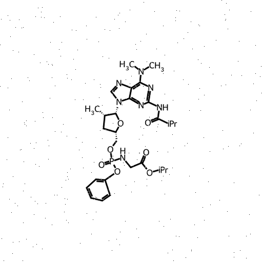 CC(C)OC(=O)CNP(=O)(OC[C@@H]1C[C@H](C)[C@H](n2cnc3c(N(C)C)nc(NC(=O)C(C)C)nc32)O1)Oc1ccccc1